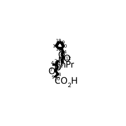 CCCN(CC(C)OC(=O)CCC(=O)O)C(=O)OCc1ccccc1